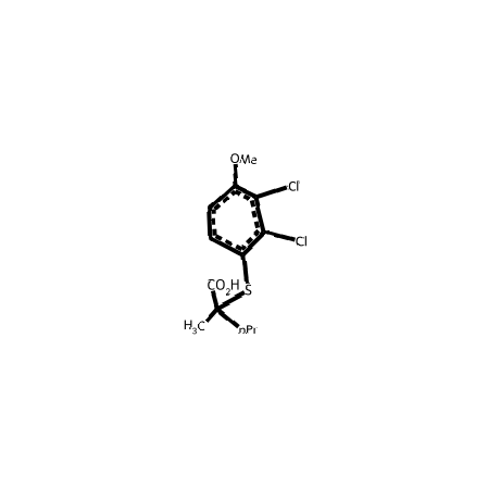 CCCC(C)(Sc1ccc(OC)c(Cl)c1Cl)C(=O)O